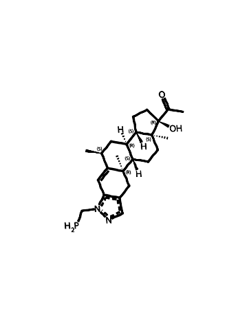 CC(=O)[C@@]1(O)CC[C@H]2[C@@H]3C[C@H](C)C4=Cc5c(cnn5CP)C[C@]4(C)[C@H]3CC[C@@]21C